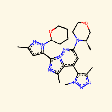 Cc1cc(-c2nc(C)c3c(-c4c(C)nnn4C)cc(N4CCOC[C@H]4C)nn23)n(C2CCCCO2)n1